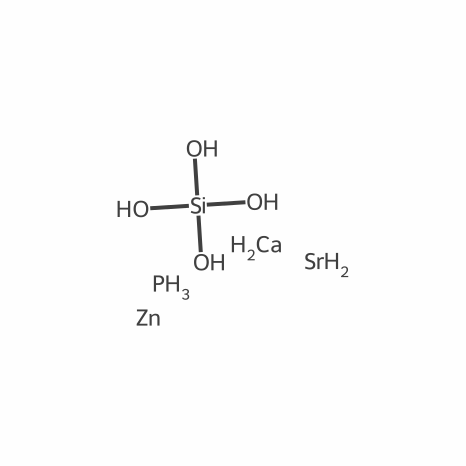 O[Si](O)(O)O.P.[CaH2].[SrH2].[Zn]